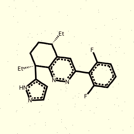 CC[C@H]1CC[C@](CC)(c2ccn[nH]2)c2nnc(-c3c(F)cccc3F)cc21